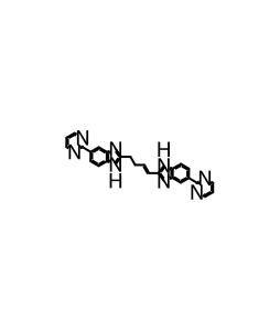 C(=Cc1nc2cc(-c3ncccn3)ccc2[nH]1)CCc1nc2cc(-c3ncccn3)ccc2[nH]1